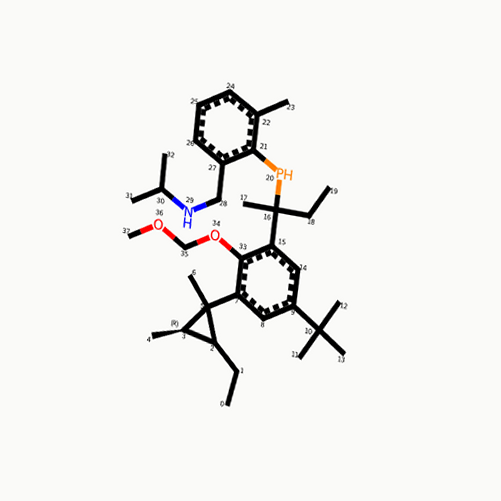 CCC1[C@@H](C)C1(C)c1cc(C(C)(C)C)cc(C(C)(CC)Pc2c(C)cccc2CNC(C)C)c1OCOC